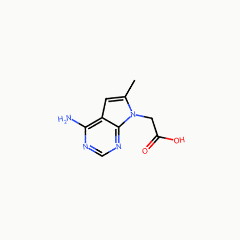 Cc1cc2c(N)ncnc2n1CC(=O)O